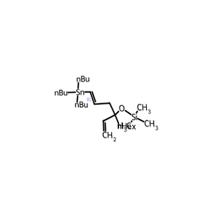 C=CC(C/C=[CH]/[Sn]([CH2]CCC)([CH2]CCC)[CH2]CCC)(CCCCCC)O[Si](C)(C)C